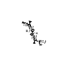 Cc1c(NC(=O)c2cc(C3CC3)c(CNCC3(O)CC3)cn2)cccc1-c1cccc(NC(=O)c2cc(C3CC3)c(CN[C@H](CO)C(=O)O)cn2)c1C